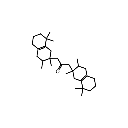 CC1CC2=C(CC1(C)CC(=O)CC1(C)CC3=C(CCCC3(C)C)CC1C)C(C)(C)CCC2